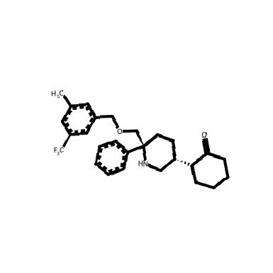 Cc1cc(COC[C@@]2(c3ccccc3)CC[C@H](C3CCCCC3=O)CN2)cc(C(F)(F)F)c1